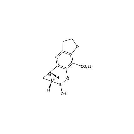 CCOC(=O)c1c2c(cc3c1OB(O)[C@@H]1C[C@H]31)CCO2